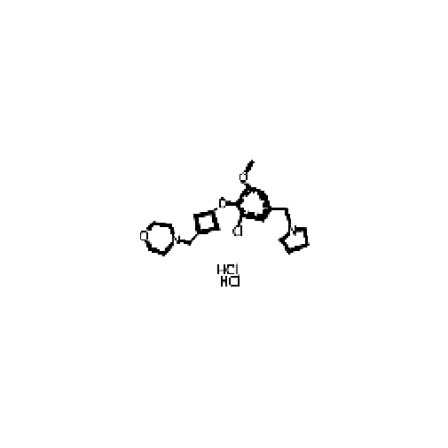 COc1cc(CN2CCCC2)cc(Cl)c1O[C@H]1C[C@H](CN2CCOCC2)C1.Cl.Cl